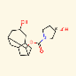 O=C(OC1C2CC(O)CC3CC1CC3C2)N1CC[C@H](O)C1